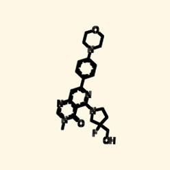 Cn1cnc2cc(-c3ccc(N4CCOCC4)cc3)nc(N3CCC(F)(CO)C3)c2c1=O